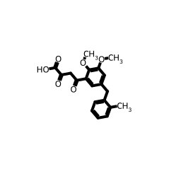 COc1cc(Cc2ccccc2C)cc(C(=O)CC(=O)C(=O)O)c1OC